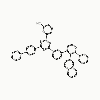 N#Cc1cccc(-c2nc(-c3ccc(-c4ccccc4)cc3)nc(-c3cccc(-c4cccc(-c5ccccc5)c4-c4ccc5ccccc5c4)c3)n2)c1